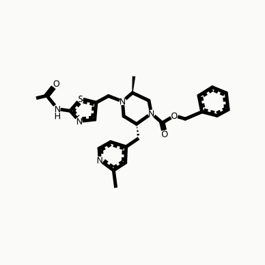 CC(=O)Nc1ncc(CN2C[C@@H](Cc3ccnc(C)c3)N(C(=O)OCc3ccccc3)C[C@@H]2C)s1